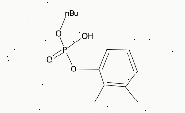 CCCCOP(=O)(O)Oc1cccc(C)c1C